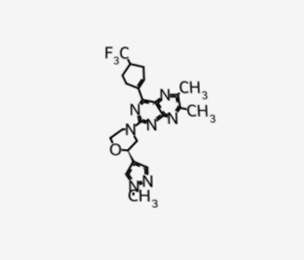 Cc1nc2nc(N3CCO[C@H](c4cnn(C)c4)C3)nc(C3=CCC(C(F)(F)F)CC3)c2nc1C